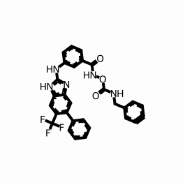 O=C(NCc1cc#ccc1)ONC(=O)c1cccc(Nc2nc3cc(-c4ccccc4)c(C(F)(F)F)cc3[nH]2)c1